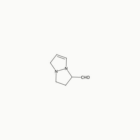 O=CC1CCN2CC=CN12